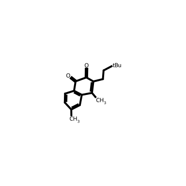 CC1=C(CCC(C)(C)C)C(=O)C(=O)c2ccc(C)cc21